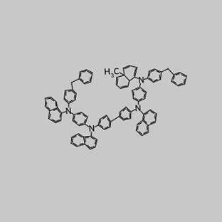 CC12C=CC=CC1C(N(c1ccc(Cc3ccccc3)cc1)c1ccc(N(c3ccc(-c4ccc(N(c5ccc(N(c6ccc(Cc7ccccc7)cc6)c6cccc7ccccc67)cc5)c5cccc6ccccc56)cc4)cc3)c3cccc4ccccc34)cc1)=CC=C2